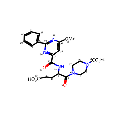 CCOC(=O)N1CCN(C(=O)C(CCC(=O)O)NC(=O)c2cc(OC)nc(-c3ccccc3)n2)CC1